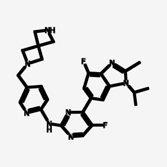 Cc1nc2c(F)cc(-c3nc(Nc4ccc(CN5CC6(CNC6)C5)cn4)ncc3F)cc2n1C(C)C